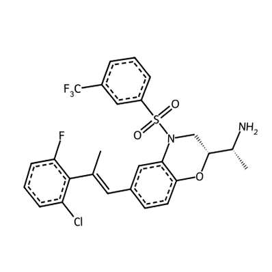 CC(=Cc1ccc2c(c1)N(S(=O)(=O)c1cccc(C(F)(F)F)c1)C[C@H]([C@@H](C)N)O2)c1c(F)cccc1Cl